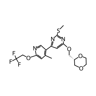 CSc1nc(OC[C@H]2COCCO2)cc(-c2cnc(OCC(F)(F)F)cc2C)n1